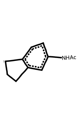 CC(=O)Nc1ccc2c(c1)CC[C]2